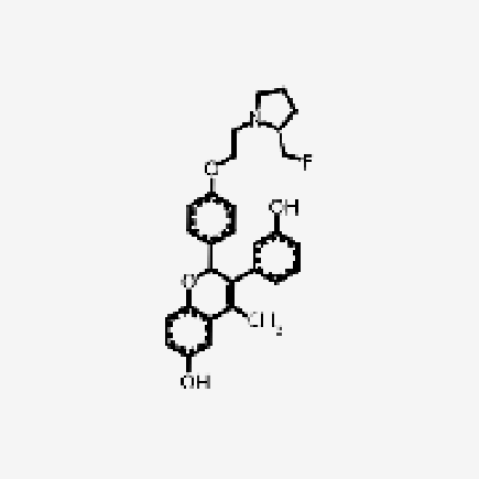 CC1=C(c2cccc(O)c2)C(c2ccc(OCCN3CCC[C@H]3CF)cc2)Oc2ccc(O)cc21